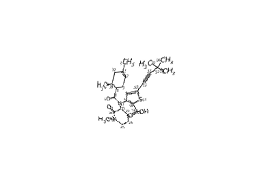 CC1=CCC(C(=O)N(c2cc(C#CC(C)(C)C)sc2C(=O)O)[C@H]2CCCN(C)C2=O)[C@@H](C)C1